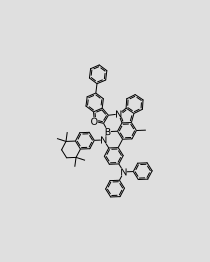 Cc1cc2c3c4c1c1ccccc1n4-c1c(oc4ccc(-c5ccccc5)cc14)B3N(c1ccc3c(c1)C(C)(C)CCC3(C)C)c1ccc(N(c3ccccc3)c3ccccc3)cc1-2